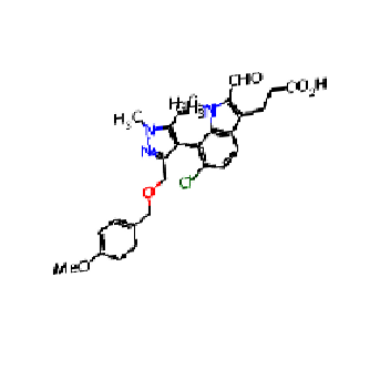 COC1=CC=C(COCc2nn(C)c(C)c2-c2c(Cl)ccc3c(CCC(=O)O)c(C=O)n(C)c23)CC1